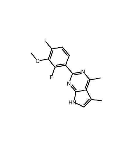 COc1c(I)ccc(-c2nc(C)c3c(C)c[nH]c3n2)c1F